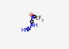 O=c1ccc(C(F)(F)F)cn1Cc1ccc(NCCN2CCNCC2)cc1